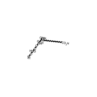 CCOCCOCCNC(=O)COCCOCCNC(=O)CCC(NC(=O)CCCCCCCCCCCCCCCCC(=O)O)C(N)=O